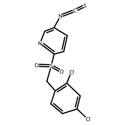 O=S(=O)(Cc1ccc(Cl)cc1Cl)c1ccc(N=C=S)cn1